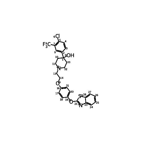 OC1(c2ccc(Cl)c(C(F)(F)F)c2)CCN(CCOc2ccc(Oc3nc4ccccc4s3)cc2)CC1